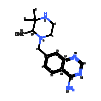 CC1(C)NCCN(Cc2ccc3c(N)ncnc3c2)C1C=O